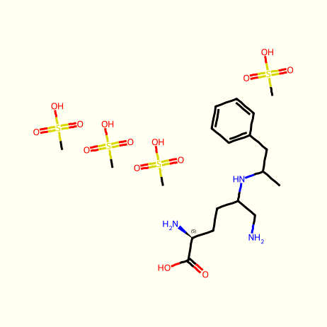 CC(Cc1ccccc1)NC(CN)CC[C@H](N)C(=O)O.CS(=O)(=O)O.CS(=O)(=O)O.CS(=O)(=O)O.CS(=O)(=O)O